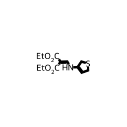 CCOC(=O)C(=CNC1=CCSC1)C(=O)OCC